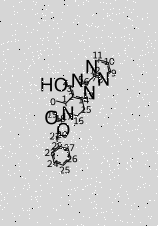 CC1c2c(O)nc(-c3ncccn3)nc2CCN1C(=O)OCc1ccccc1